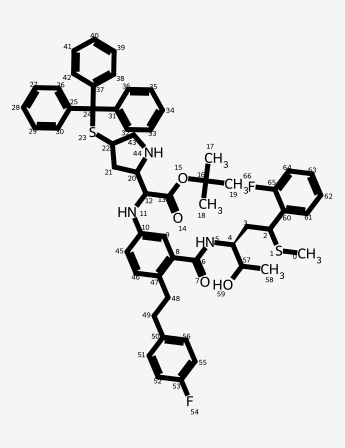 CSC(C[C@H](NC(=O)c1cc(NC(C(=O)OC(C)(C)C)C2CC(SC(c3ccccc3)(c3ccccc3)c3ccccc3)CN2)ccc1CCc1ccc(F)cc1)C(C)O)c1ccccc1F